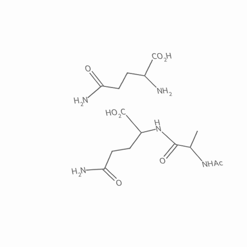 CC(=O)NC(C)C(=O)NC(CCC(N)=O)C(=O)O.NC(=O)CCC(N)C(=O)O